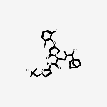 CCCCC(C(C)CC(C(=O)Nc1ccn(CC(C)(C)O)n1)N1CC(Oc2c(F)cccc2F)=CC1=O)C12CCC(CC1)C2